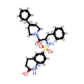 O=C1CCc2cc(S(=O)(=O)NC(Cc3ccccc3)C(=O)N3CC=C(c4ccccc4)CC3)ccc2N1